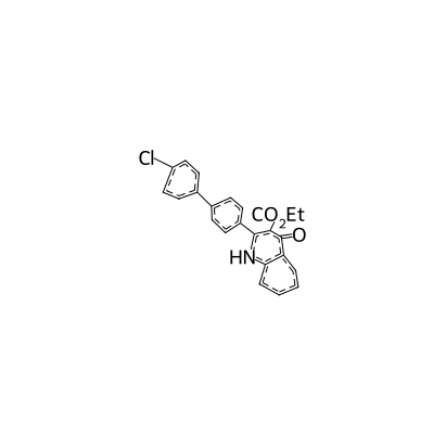 CCOC(=O)c1c(-c2ccc(-c3ccc(Cl)cc3)cc2)[nH]c2ccccc2c1=O